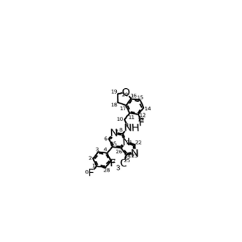 Fc1ccc(-c2cnc(NCc3c(F)ccc4c3CCO4)n3cnc(C(F)(F)F)c23)cc1